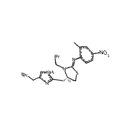 Cc1cc([N+](=O)[O-])ccc1N=C1SC[C@H](Cc2nc(CC(C)C)c[nH]2)N1CC(C)C